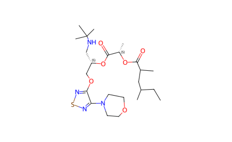 CCC(C)CC(C)C(=O)O[C@@H](C)C(=O)O[C@@H](CNC(C)(C)C)COc1nsnc1N1CCOCC1